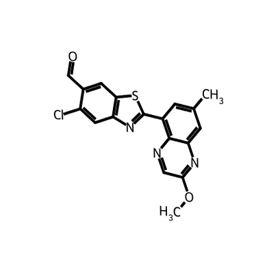 COc1cnc2c(-c3nc4cc(Cl)c(C=O)cc4s3)cc(C)cc2n1